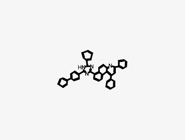 c1ccc(-c2ccc(C3=NC(c4cccc5c4ccc4nc(-c6ccccc6)cc(-c6ccccc6)c45)=NC(c4ccccc4)N3)cc2)cc1